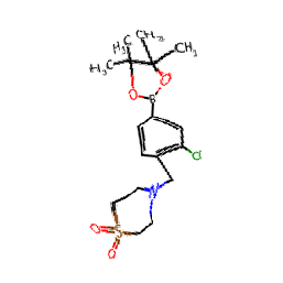 CC1(C)OB(c2ccc(CN3CCS(=O)(=O)CC3)c(Cl)c2)OC1(C)C